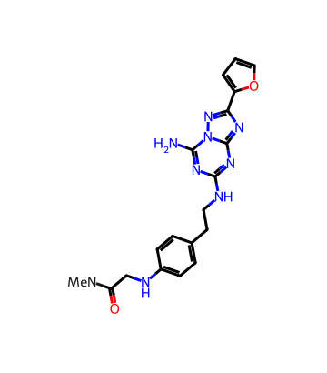 CNC(=O)CNc1ccc(CCNc2nc(N)n3nc(-c4ccco4)nc3n2)cc1